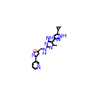 Cc1nc(NCc2cc(-c3cccnc3)no2)nc(N)c1-c1cc(C2CC2)[nH]n1